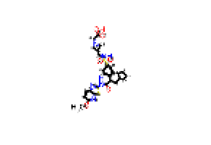 COc1ccc2nc(NC(=O)C(CC3CCCC3)c3ccc(S(=O)(=O)NCC4CN(CC(=O)O)C4)cc3)sc2n1